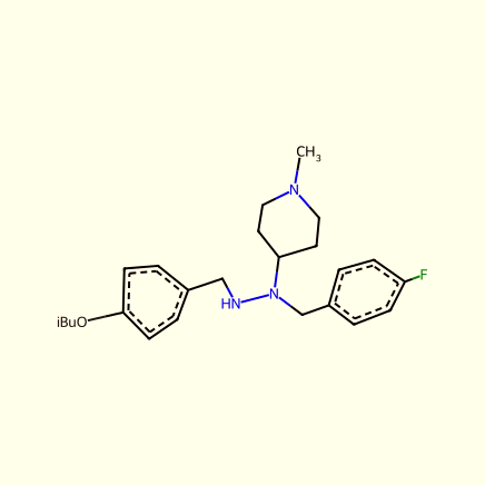 CC(C)COc1ccc(CNN(Cc2ccc(F)cc2)C2CCN(C)CC2)cc1